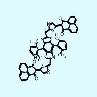 Cc1cccc(C)c1-c1c2nc(/C=c3/ncc(=c4c(=O)c5cccc6cccc(c4=O)c65)s3)sc2c(-c2c(C)cccc2C)c2nc(/C=c3/ncc(=c4c(=O)c5cccc6cccc(c4=O)c65)s3)sc12